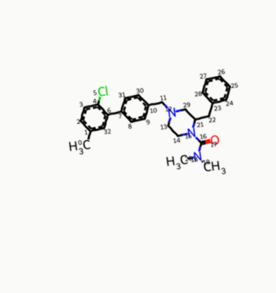 Cc1ccc(Cl)c(-c2ccc(CN3CCN(C(=O)N(C)C)C(Cc4ccccc4)C3)cc2)c1